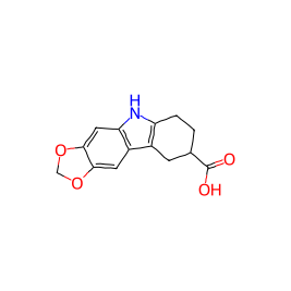 O=C(O)C1CCc2[nH]c3cc4c(cc3c2C1)OCO4